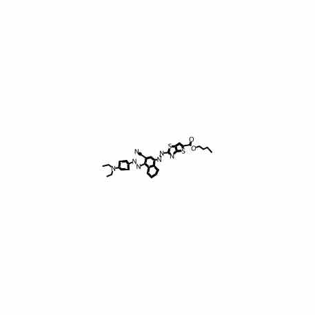 CCCCOC(=O)c1cc2sc(N=Nc3cc(C#N)c(N=Nc4ccc(N(CC)CC)cc4)c4ccccc34)nc2s1